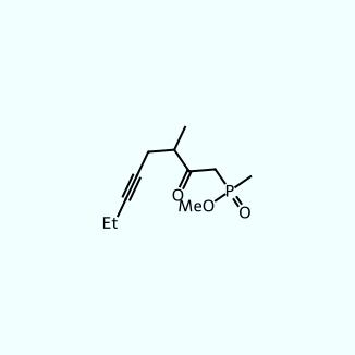 CCC#CCC(C)C(=O)CP(C)(=O)OC